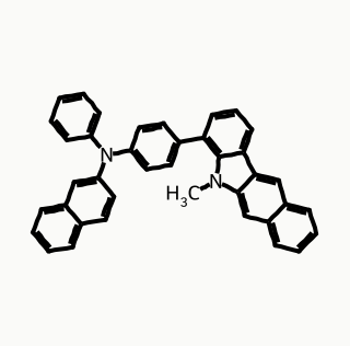 Cn1c2cc3ccccc3cc2c2cccc(-c3ccc(N(c4ccccc4)c4ccc5ccccc5c4)cc3)c21